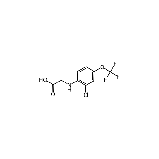 O=C(O)CNc1ccc(OC(F)(F)F)cc1Cl